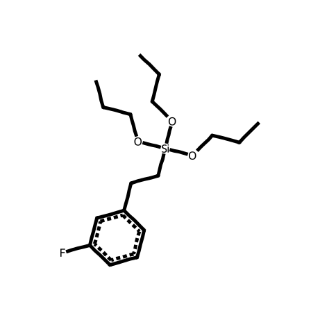 CCCO[Si](CCc1cccc(F)c1)(OCCC)OCCC